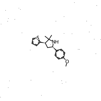 COc1ccc([C@H]2C[C@@H](c3cccs3)C(C)(C)N2)cc1